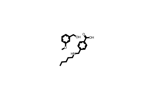 CCCCCNCc1ccc(C(=O)O)cc1.COc1cccc(CO)c1